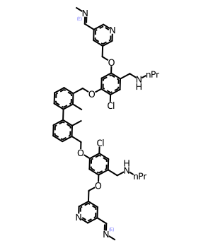 CCCNCc1cc(Cl)c(OCc2cccc(-c3cccc(COc4cc(OCc5cncc(/C=N/C)c5)c(CNCCC)cc4Cl)c3C)c2C)cc1OCc1cncc(/C=N/C)c1